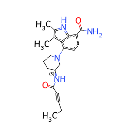 CCC#CC(=O)N[C@H]1CCCN(c2ccc(C(N)=O)c3[nH]c(C)c(C)c23)C1